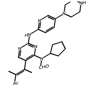 CC(=O)/C(C)=C(\C)c1cnc(Nc2ccc(N3CCNCC3)cn2)nc1N(C=O)C1CCCC1